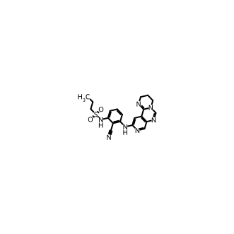 CCCS(=O)(=O)Nc1cccc(Nc2cc3c(cn2)N=CN2CCCN=C32)c1C#N